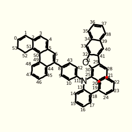 C1=Cc2ccc3cc(-c4ccc(N(c5ccccc5-c5ccccc5)c5cccc6c5oc5cc7ccccc7cc56)cc4)c4ccccc4c3c2CC1